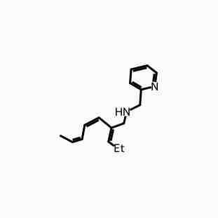 C\C=C/C=C\C(=C\CC)CNCc1ccccn1